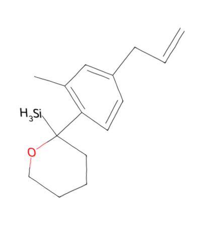 C=CCc1ccc(C2([SiH3])CCCCO2)c(C)c1